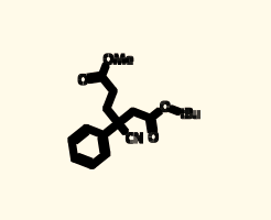 COC(=O)CCC(C#N)(CC(=O)OC(C)(C)C)c1ccccc1